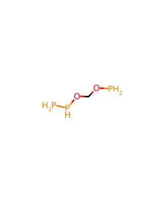 POCOPP